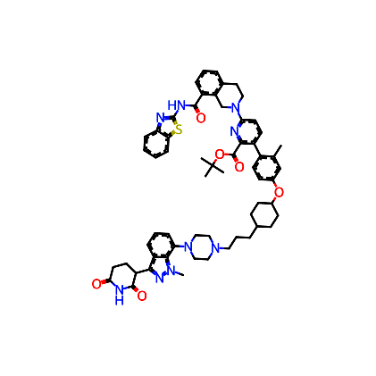 Cc1cc(OC2CCC(CCCN3CCN(c4cccc5c(C6CCC(=O)NC6=O)nn(C)c45)CC3)CC2)ccc1-c1ccc(N2CCc3cccc(C(=O)Nc4nc5ccccc5s4)c3C2)nc1C(=O)OC(C)(C)C